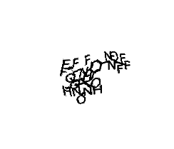 CC[C@@H]1O[C@H](C(F)(F)F)CN2c3c(F)cc(-c4noc(C(F)(F)F)n4)cc3CC3(C(=O)NC(=O)NC3=O)[C@@H]12